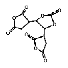 O=C1CC(C2OC(=O)OC2C2CC(=O)OC2=O)C(=O)O1